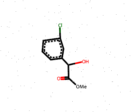 COC(=O)C(O)c1cccc(Cl)c1